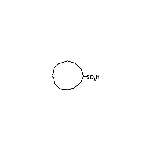 O=S(=O)(O)C1CCCCCCCCCCC1